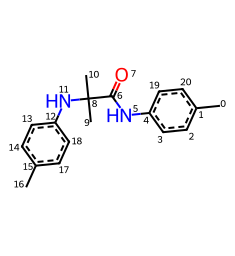 Cc1ccc(NC(=O)C(C)(C)Nc2ccc(C)cc2)cc1